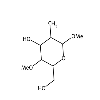 COC1OC(CO)C(OC)C(O)C1C